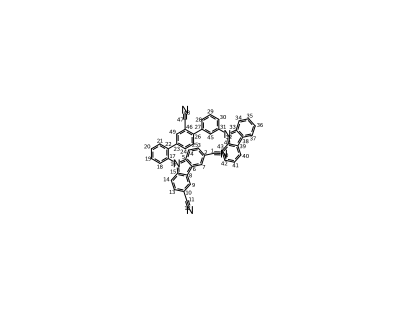 N#Cc1ccc2c(c1)c1cc(C#N)ccc1n2-c1ccccc1-c1ccc(-c2cccc(-n3c4ccccc4c4ccccc43)c2)c(C#N)c1